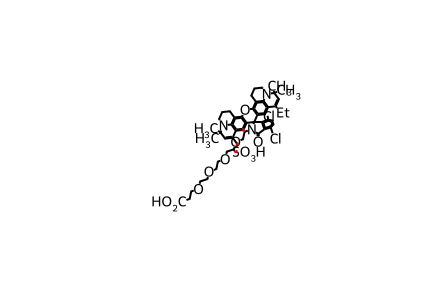 CCC1=CC(C)(C)N2CCCc3c4c(cc1c32)C1(c2cc3c5c(c2O4)CCCN5C(C)(C)C=C3CS(=O)(=O)O)c2c(Cl)ccc(Cl)c2C(=O)N1CCOCCOCCOCCOCCC(=O)O